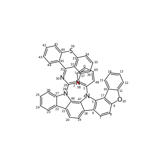 c1ccc(-n2c3c(ccc4oc5ccccc5c43)c3ccc4c5ccccc5n(-c5nc6c7c(cccc7n5)Sc5ccccc5-6)c4c32)cc1